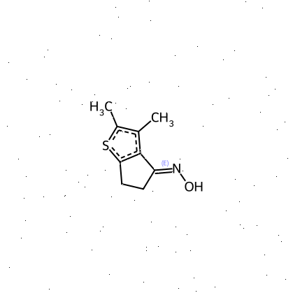 Cc1sc2c(c1C)/C(=N/O)CC2